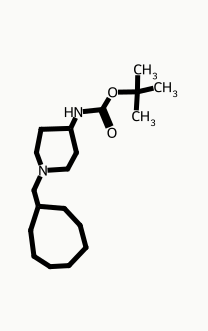 CC(C)(C)OC(=O)NC1CCN(CC2CCCCCCC2)CC1